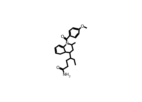 CCC(CCC(N)=O)C1CC(C)N(C(=O)c2ccc(OC)cc2)C2=CC=CCC21